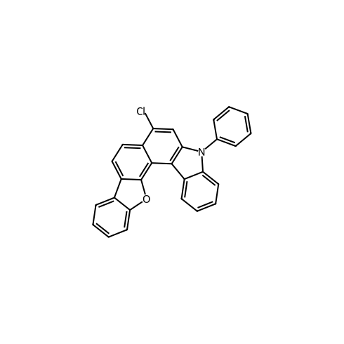 Clc1cc2c(c3ccccc3n2-c2ccccc2)c2c1ccc1c3ccccc3oc12